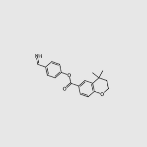 CC1(C)CCOc2ccc(C(=O)Oc3ccc(C=N)cc3)cc21